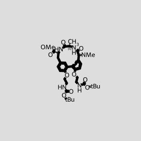 CN[C@@H]1C(=O)N[C@@H](C)C(=O)N[C@H](C(=O)OC)Cc2ccc(OCCNC(=O)OC(C)(C)C)c(c2)-c2cc1ccc2OCCNC(=O)OC(C)(C)C